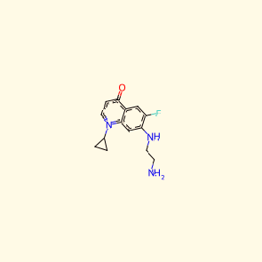 NCCNc1cc2c(cc1F)c(=O)ccn2C1CC1